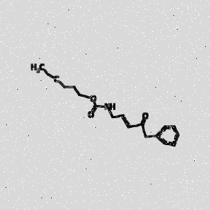 CCCCCCOC(=O)NC/C=C/C(=O)Cc1ccccc1